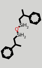 CC(C[SiH2]O[SiH2]CC(C)c1ccccc1)c1ccccc1